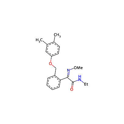 CCNC(=O)C(=NOC)c1ccccc1COc1ccc(C)c(C)c1